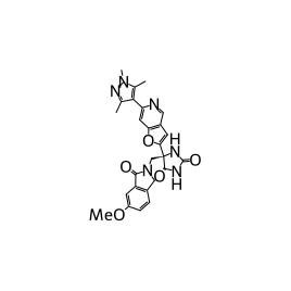 COc1ccc2c(c1)C(=O)N(C[C@@]1(c3cc4cnc(-c5c(C)nn(C)c5C)cc4o3)NC(=O)NC1=O)C2